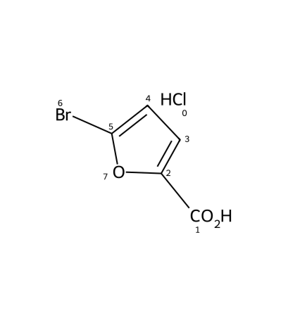 Cl.O=C(O)c1ccc(Br)o1